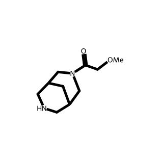 COCC(=O)N1CC2CNCC(C2)C1